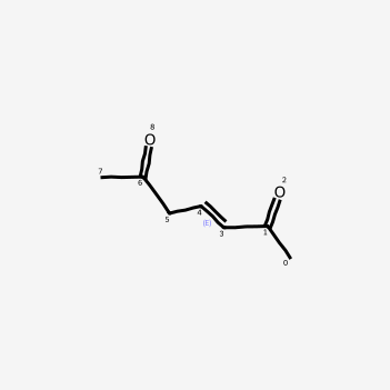 CC(=O)/C=C/CC(C)=O